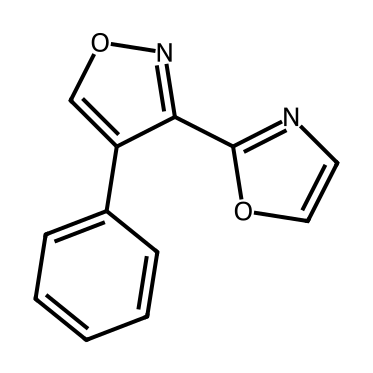 c1ccc(-c2conc2-c2ncco2)cc1